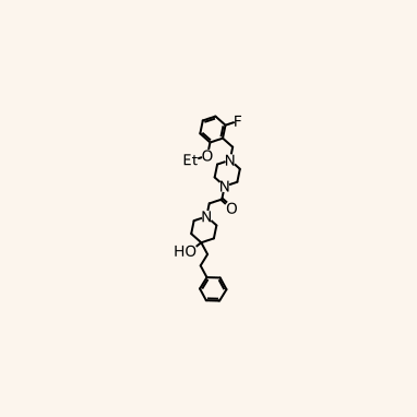 CCOc1cccc(F)c1CN1CCN(C(=O)CN2CCC(O)(CCc3ccccc3)CC2)CC1